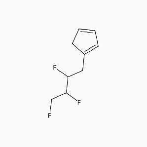 FCC(F)C(F)CC1=CC=CC1